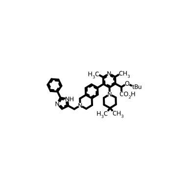 Cc1nc(C)c(C(OC(C)(C)C)C(=O)O)c(N2CCC(C)(C)CC2)c1-c1ccc2c(c1)CCN(Cc1cnc(-c3ccccc3)[nH]1)C2